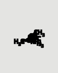 CCCCOC(=O)C(N)C(CCC)C(=O)OCC